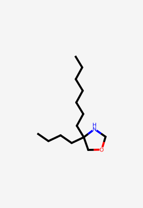 CCCCCCCC1(CCCC)COCN1